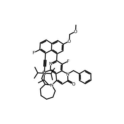 COCOc1cc(-c2nc3c4c(cc(=O)n(Cc5ccccc5)c4c2F)N2CCCCCC2CO3)c2c(C#C[Si](C(C)C)(C(C)C)C(C)C)c(F)ccc2c1